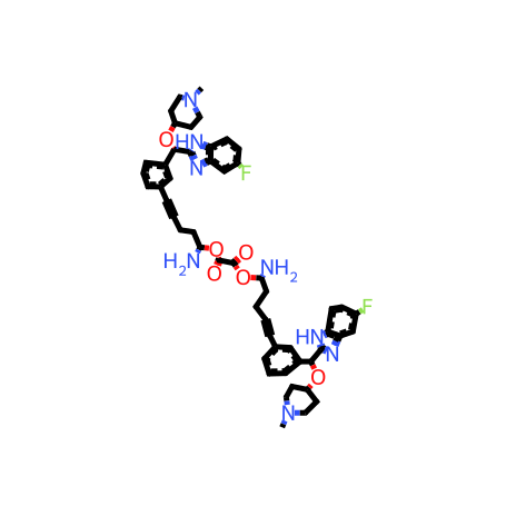 CN1CCC(OC(c2cccc(C#CCCC(N)OC(=O)C(=O)OC(N)CCC#Cc3cccc(C(OC4CCN(C)CC4)c4nc5cc(F)ccc5[nH]4)c3)c2)c2nc3cc(F)ccc3[nH]2)CC1